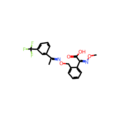 CO/N=C(\C(=O)O)c1ccccc1CO/N=C(\C)c1cccc(C(F)(F)F)c1